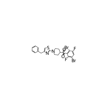 O=S(=O)(c1c(F)c(Br)cc(F)c1Br)C1CCN(c2nc(Cc3ccccc3)cs2)CC1